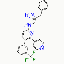 N[C@@H](CNc1ccc(-c2cccc(C(F)(F)F)c2)c(-c2ccncc2)n1)Cc1ccccc1